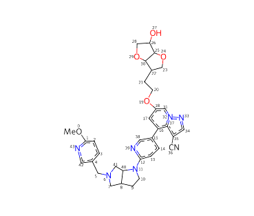 COc1ccc(CN2CC3CCN(c4ccc(-c5cc(OCCC6COC7C(O)COC67)cn6ncc(C#N)c56)cn4)C3C2)cn1